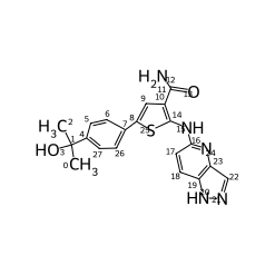 CC(C)(O)c1ccc(-c2cc(C(N)=O)c(Nc3ccc4[nH]ncc4n3)s2)cc1